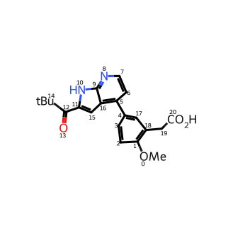 COc1ccc(-c2ccnc3[nH]c(C(=O)C(C)(C)C)cc23)cc1CC(=O)O